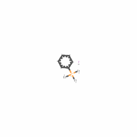 CC[P+](CC)(CC)c1ccccc1.[I-]